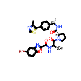 Cc1ncsc1-c1ccc([C@H](C)NC(=O)[C@@H]2CCCN2C(=O)C(NC(=O)c2nc3cc(Br)ccc3o2)C(C)(C)C)cc1